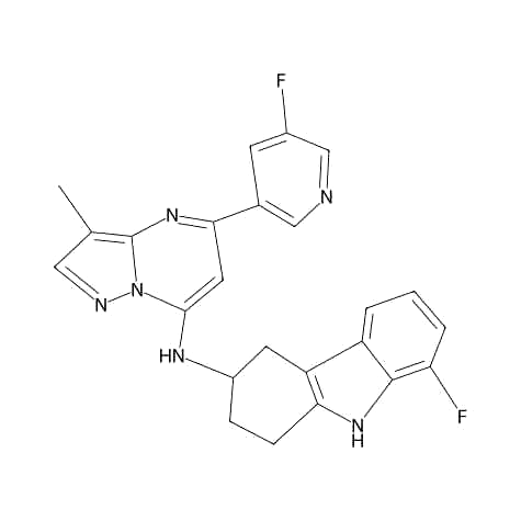 Cc1cnn2c(NC3CCc4[nH]c5c(F)cccc5c4C3)cc(-c3cncc(F)c3)nc12